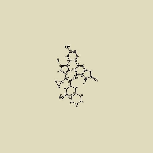 CN1C(=O)Cc2cc(-c3ccc(Cl)cc3-c3nc(N(C(=O)C(CC(=O)O)CC4CCOCC4)C4CC4)sc3F)cnc21